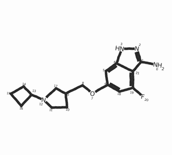 Nc1n[nH]c2cc(OCC3CCN(C4CCC4)C3)cc(F)c12